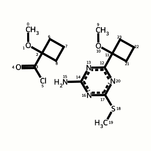 COC1(C(=O)Cl)CCC1.COC1(c2nc(N)nc(SC)n2)CCC1